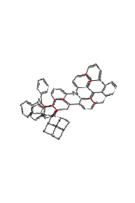 c1ccc(-c2cccc3cccc(-c4ccccc4N(c4cccc(-c5cccc6c7ccccc7n(-c7ccccc7)c56)c4)c4ccccc4-c4ccc5c(c4)C4(c6ccccc6-5)C5CC6CC7CC4C675)c23)cc1